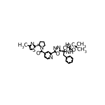 Cc1csc([C@H]2CCCN2C(=O)c2ccnc(-c3nnc([C@@](C)(Cc4ccccc4)NC(=O)OC(C)(C)C)o3)c2)n1